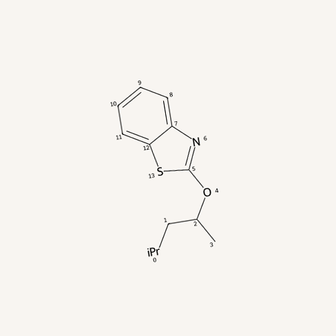 CC(C)CC(C)Oc1nc2ccccc2s1